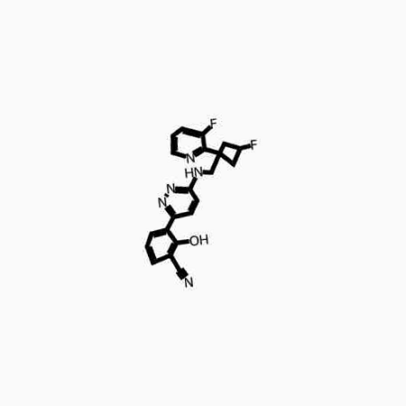 N#Cc1cccc(-c2ccc(NCC3(c4ncccc4F)CC(F)C3)nn2)c1O